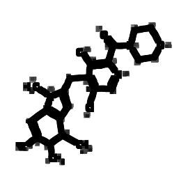 CC1C(C#N)=Cc2c(cc(Cc3c(Cl)cnc(C(=O)N4CCOCC4)c3Cl)n2C)C1C